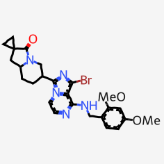 COc1ccc(CNc2nccn3c(C4CCC5CC6(CC6)C(=O)N5C4)nc(Br)c23)c(OC)c1